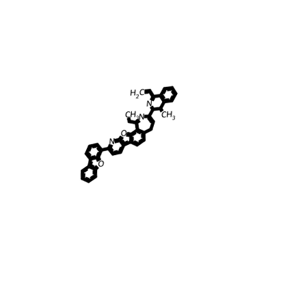 C=CC1=NC(C2=CCc3ccc4c(oc5nc(-c6cccc7c6oc6ccccc67)ccc54)c3C(CC)=N2)C(C)c2ccccc21